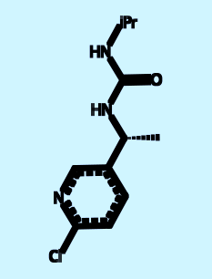 CC(C)NC(=O)N[C@H](C)c1ccc(Cl)nc1